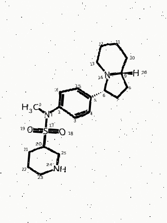 CN(c1ccc([C@H]2CC[C@H]3CCCCN32)cc1)S(=O)(=O)C1CCCNC1